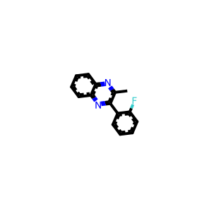 Cc1nc2ccccc2nc1-c1ccccc1F